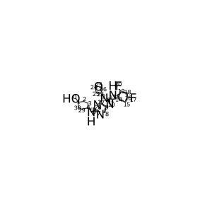 O[C@H]1CC[C@H](Nc2ncc3nc(Nc4ccc(F)cc4F)n([C@@H]4CCOC4)c3n2)CC1